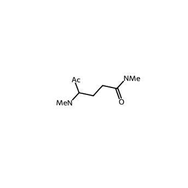 CNC(=O)CCC(NC)C(C)=O